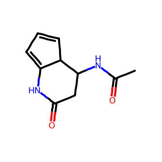 CC(=O)NC1CC(=O)NC2=CC=CC21